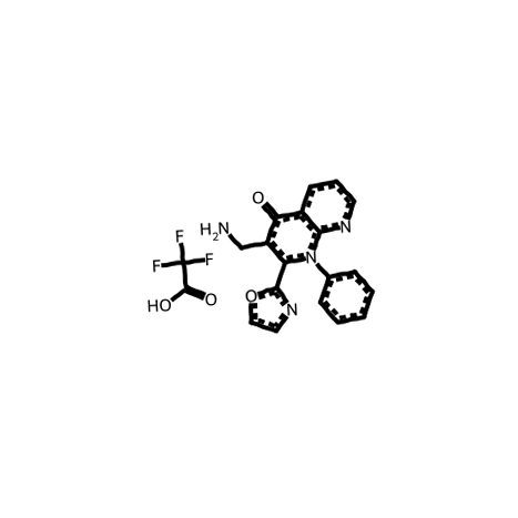 NCc1c(-c2ncco2)n(-c2ccccc2)c2ncccc2c1=O.O=C(O)C(F)(F)F